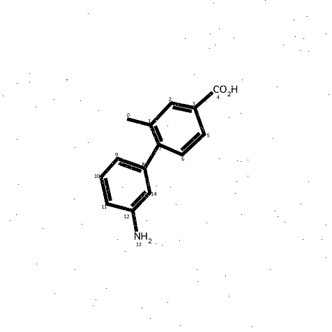 Cc1cc(C(=O)O)ccc1-c1cccc(N)c1